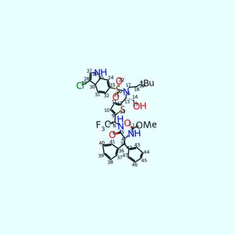 COC(=O)N[C@H](C(=O)N[C@H](c1ccc([C@@H](CO)N(CCC(C)(C)C)S(=O)(=O)C2=CC3NC=C(Cl)C3C=C2)s1)C(F)(F)F)C(c1ccccc1)c1ccccc1